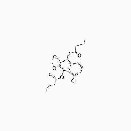 CCCC(=O)Oc1c2c(c(OC(=O)CCC)c3c(Cl)cccc13)OCO2